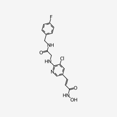 O=C(/C=C/c1cnc(NCC(=O)NCc2ccc(F)cc2)c(Cl)c1)NO